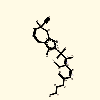 C#CC1(C)C=C=Cc2c([nH]c(C(C)(C)/C(C)=C(/C=C\C(=C)CCCC)CC)c2C)C1